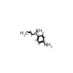 C=CCN(C)c1ccc(N)cc1